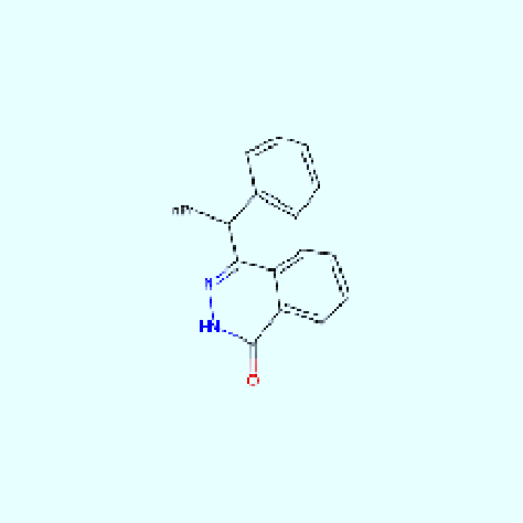 CCCC(c1ccccc1)c1n[nH]c(=O)c2ccccc12